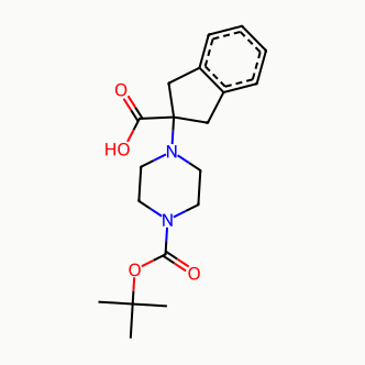 CC(C)(C)OC(=O)N1CCN(C2(C(=O)O)Cc3ccccc3C2)CC1